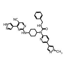 Cn1cc(-c2ccc(N(C(=O)NCc3ccccc3)C3CCC(Nc4ncc(C#N)c(-c5cn[nH]c5)n4)CC3)nc2)cn1